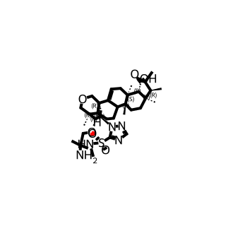 CNS(=O)(=O)c1ncnn1[C@@H]1C[C@@]23COC[C@@](C)([C@@H]2CCC2C3=CC[C@@]3(C)[C@H](C(=O)O)[C@@](C)([C@H](C)C(C)C)CC[C@]23C)[C@H]1OCC(C)(C)N